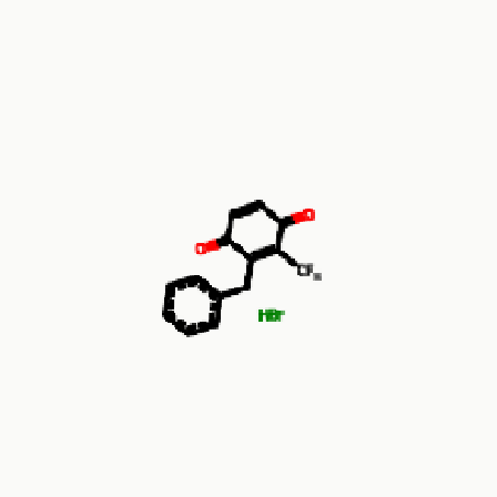 Br.O=C1C=CC(=O)C(C(F)(F)F)=C1Cc1ccccc1